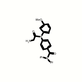 COc1cccc(N(C(=O)CN)c2ccc(C(=O)N(C(C)C)C(C)C)cc2)c1